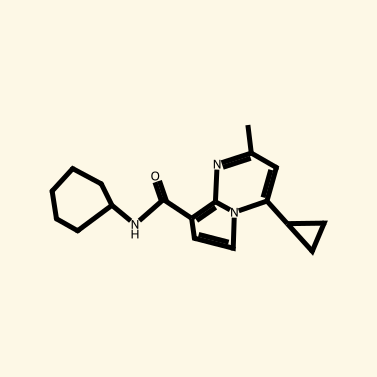 Cc1cc(C2CC2)n2ccc(C(=O)NC3CCCCC3)c2n1